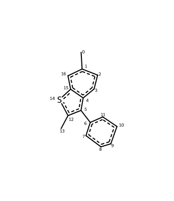 Cc1ccc2c(-c3ccccc3)c(C)sc2c1